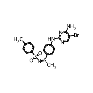 Cc1ccc(S(=O)(=O)N=S(C)c2ccc(Nc3ncc(Br)c(N)n3)cc2)cc1